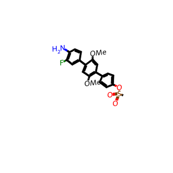 COc1cc(-c2ccc(N)c(F)c2)c(OC)cc1-c1ccc(OS(C)(=O)=O)cc1